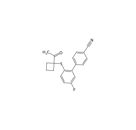 CC(=O)C1(Sc2ccc(F)cc2-c2ccc(C#N)cc2)CCC1